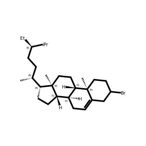 CC[C@H](CC[C@@H](C)[C@H]1CC[C@H]2[C@@H]3CC=C4CC(Br)CC[C@]4(C)[C@H]3CC[C@]12C)C(C)C